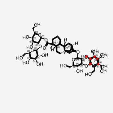 C=C1C[C@@]23CC[C@H]4[C@@](C)(CCC[C@@]4(C)C(=O)O[C@@H]4O[C@H](CO)[C@@H](O)[C@H](O)[C@H]4O[C@@H]4O[C@H](CO)[C@@H](O)[C@H](O)[C@H]4O)[C@@H]2C[C@@H]1C(O[C@@H]1O[C@H](CO)[C@@H](O)[C@H](O[C@@H]2O[C@H](CO)[C@@H](O)[C@H](O)[C@H]2O)[C@H]1O[C@@H]1O[C@H](CO)[C@@H](O)[C@H](O)[C@H]1O)C3